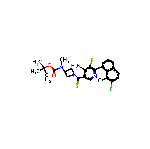 CN(C(=O)OC(C)(C)C)C1CN(C(=S)c2cnc(-c3cccc4ccc(F)c(Cl)c34)c(F)c2N)C1